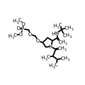 C=C(NC(C)(C)C)C1CC(OCOCP(=O)(OC)OC)CN1C(=C)C(C)C(C)C